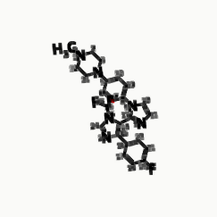 CN1CCN(c2ccc(-n3ccnc3-c3c(-c4ccc(F)cc4)ncn3C(F)F)cc2)CC1